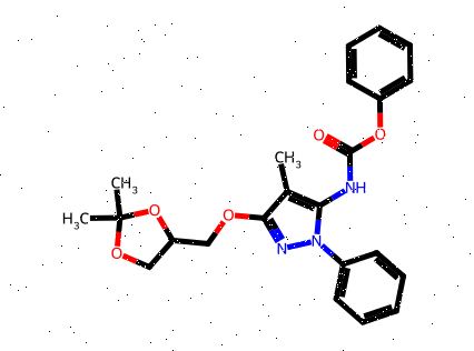 Cc1c(OCC2COC(C)(C)O2)nn(-c2ccccc2)c1NC(=O)Oc1ccccc1